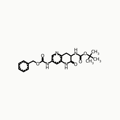 CC(C)(C)OC(=O)NC1Cc2ncc(NC(=O)OCc3ccccc3)cc2NC1=O